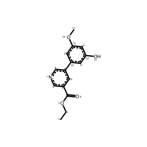 CCOC(=O)c1cncc(-c2cc(O)cc(OC)c2)c1